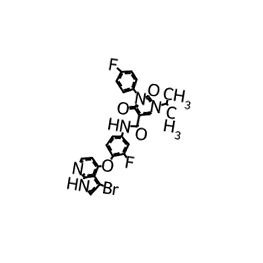 CC(C)n1cc(C(=O)Nc2ccc(Oc3ccnc4[nH]cc(Br)c34)c(F)c2)c(=O)n(-c2ccc(F)cc2)c1=O